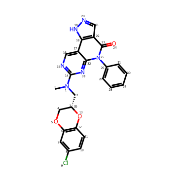 CN(C[C@H]1COc2cc(Cl)ccc2O1)c1ncc2c3[nH]ncc3c(=O)n(-c3ccccc3)c2n1